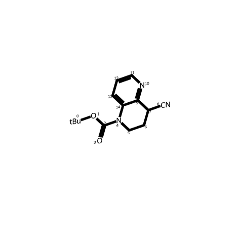 CC(C)(C)OC(=O)N1CCC(C#N)c2ncccc21